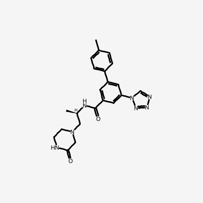 Cc1ccc(-c2cc(C(=O)N[C@H](C)CN3CCNC(=O)C3)cc(-n3cnnn3)c2)cc1